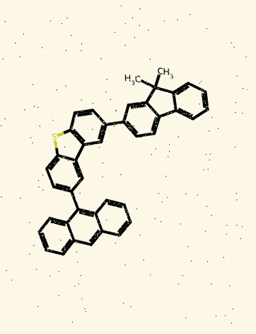 CC1(C)c2ccccc2-c2ccc(-c3ccc4sc5ccc(-c6c7ccccc7cc7ccccc67)cc5c4c3)cc21